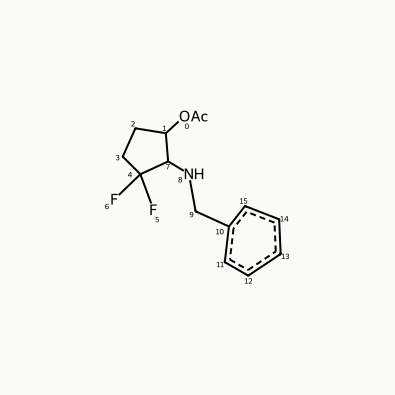 CC(=O)OC1CCC(F)(F)C1NCc1ccccc1